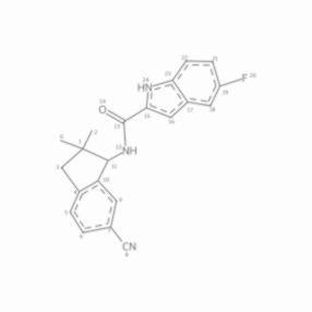 CC1(C)Cc2ccc(C#N)cc2C1NC(=O)c1cc2cc(F)ccc2[nH]1